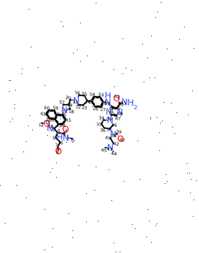 CNC(=O)C(CCC=O)/C(=N/OC)c1ccc(N2CC(CN3CCC(c4ccc(Nc5nc(N6CCCC(N(C=O)CCN(C)C)C6)cnc5C(N)=O)cc4)CC3)C2)c2ccccc12